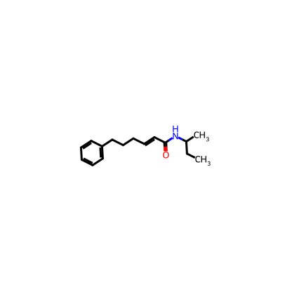 CCC(C)NC(=O)C=CCCCc1ccccc1